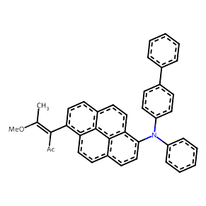 CO/C(C)=C(\C(C)=O)c1ccc2ccc3c(N(c4ccccc4)c4ccc(-c5ccccc5)cc4)ccc4ccc1c2c43